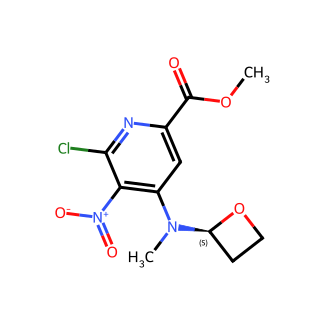 COC(=O)c1cc(N(C)[C@@H]2CCO2)c([N+](=O)[O-])c(Cl)n1